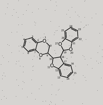 [C]1Oc2ccccc2OC1C1Oc2ccccc2C1C1Oc2ccccc2O1